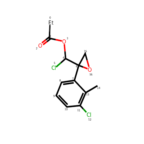 CCC(=O)OC(Cl)C1(c2cccc(Cl)c2C)CO1